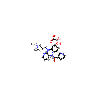 CN(C)CCCN(c1ccccc1)c1ncccc1NC(=O)c1cccnc1.O=C(O)C(=O)O